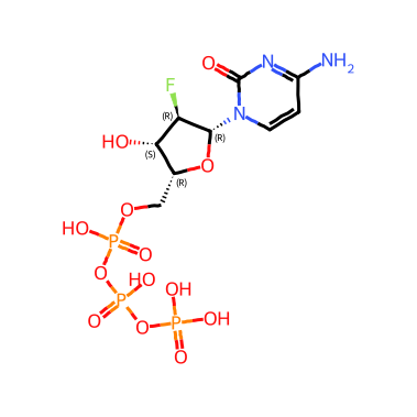 Nc1ccn([C@@H]2O[C@H](COP(=O)(O)OP(=O)(O)OP(=O)(O)O)[C@H](O)[C@H]2F)c(=O)n1